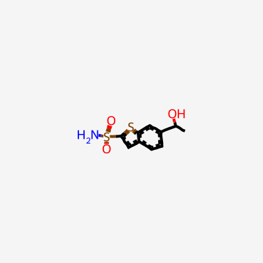 CC(O)c1ccc2cc(S(N)(=O)=O)sc2c1